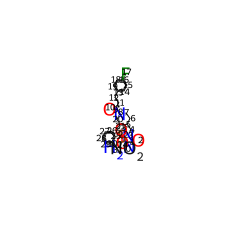 NC(=O)N(CC1CCN(C(=O)[CH]Cc2ccc(F)cc2)CC1)S(=O)(=O)c1ccccc1[N+](=O)[O-]